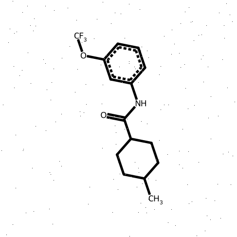 CC1CCC(C(=O)Nc2cccc(OC(F)(F)F)c2)CC1